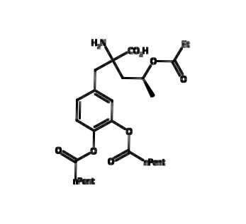 CCCCCC(=O)Oc1ccc(CC(N)(C[C@H](C)OC(=O)CC)C(=O)O)cc1OC(=O)CCCCC